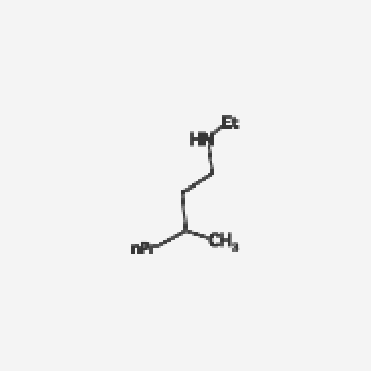 CCCC(C)CCNCC